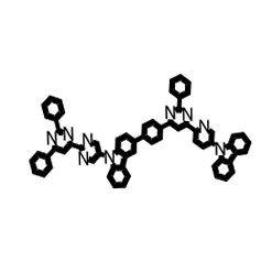 c1ccc(-c2cc(-c3ncc(-n4c5ccccc5c5cc(-c6ccc(-c7cc(-c8ccc(-n9c%10ccccc%10c%10ccccc%109)cn8)nc(-c8ccccc8)n7)cc6)ccc54)cn3)nc(-c3ccccc3)n2)cc1